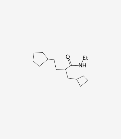 CCNC(=O)C(CCC1CCCC1)CC1CCC1